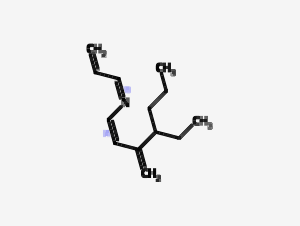 C=C/C=N\C=C/C(=C)C(CC)CCC